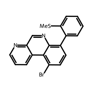 CSc1ccccc1-c1ccc(Br)c2c1ncc1ncccc12